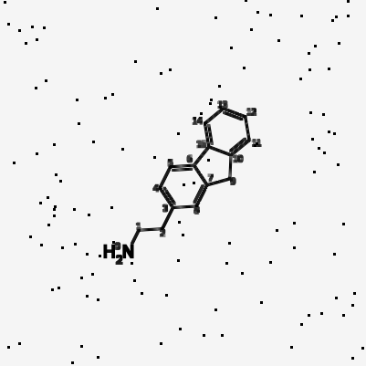 NCCc1ccc2c(c1)Cc1ccccc1-2